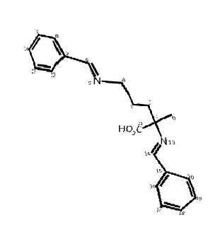 CC(CCC/N=C/c1ccccc1)(/N=C/c1ccccc1)C(=O)O